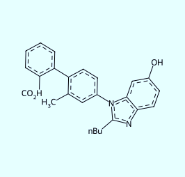 CCCCc1nc2ccc(O)cc2n1-c1ccc(-c2ccccc2C(=O)O)c(C)c1